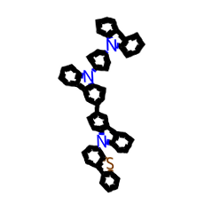 c1ccc2c(c1)sc1c(-n3c4ccccc4c4cc(-c5ccc6c(c5)c5ccccc5n6-c5ccc(-n6c7ccccc7c7ccccc76)cc5)ccc43)cccc12